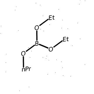 CCCOB(OCC)OCC